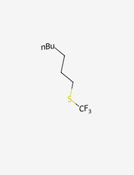 [CH2]CCCCCCSC(F)(F)F